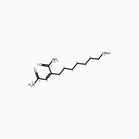 CCCCCCCCCCCCCCCC/C(=C/C(N)=O)C(N)=O